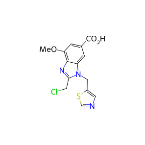 COc1cc(C(=O)O)cc2c1nc(CCl)n2Cc1cncs1